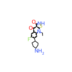 CCn1c2cc(C3CCC(N)CC3)c(F)cc2c(=O)c2c(=O)[nH]sc21